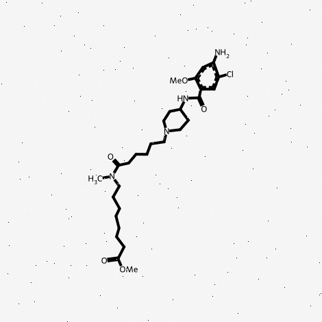 COC(=O)CCCCCCCN(C)C(=O)CCCCCN1CCC(NC(=O)c2cc(Cl)c(N)cc2OC)CC1